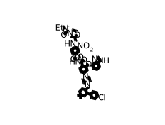 CCN(C)C(=O)N1CCOC(CNc2ccc(S(=O)(=O)NC(=O)c3ccc(N4CCN(CC5=C(c6ccc(Cl)cc6)CC(C)(C)CC5)CC4)cc3Oc3cccc4[nH]cnc34)cc2[N+](=O)[O-])C1